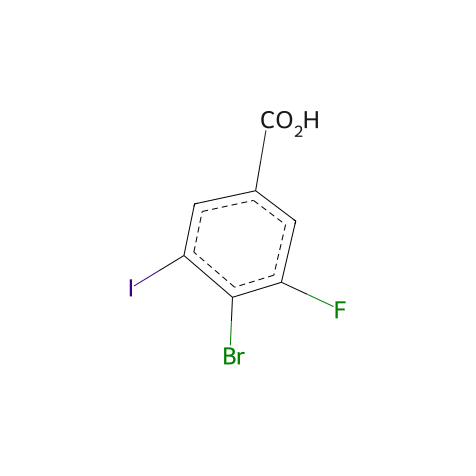 O=C(O)c1cc(F)c(Br)c(I)c1